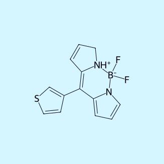 F[B-]1(F)n2cccc2C(c2ccsc2)=C2C=CC[NH+]21